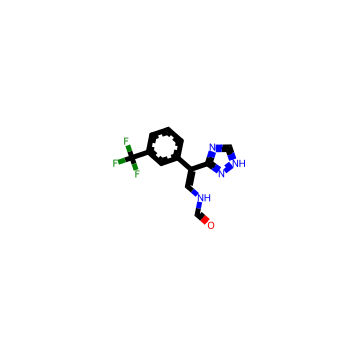 O=CNC=C(c1cccc(C(F)(F)F)c1)c1nc[nH]n1